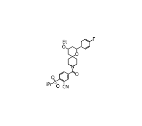 CCOC1CC(c2ccc(F)cc2)OC2(CCN(C(=O)c3ccc(S(=O)(=O)C(C)C)c(C#N)c3)CC2)C1